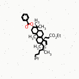 CCOC(=O)CC[C@@]12C=C[C@H]([C@H](C)CCCC(C)C)[C@@]1(C)CCC1=C2CCC2C(C)(C)[C@@H](OC(=O)c3ccccc3)CC[C@]12C